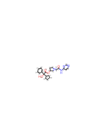 C[N@@+]1(CC(=O)Nc2ccncn2)CCC(OC(=O)C(O)(c2ccccc2)C2CCCC2)C1